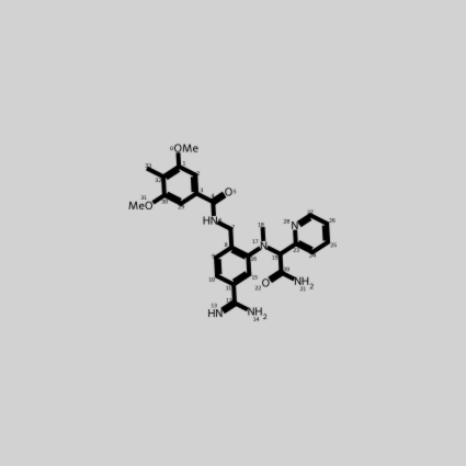 COc1cc(C(=O)NCc2ccc(C(=N)N)cc2N(C)C(C(N)=O)c2ccccn2)cc(OC)c1C